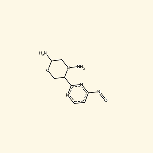 NC1CN(N)C(c2nccc(N=O)n2)CO1